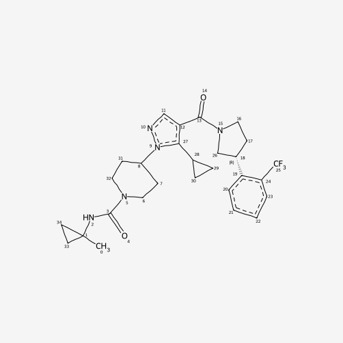 CC1(NC(=O)N2CCC(n3ncc(C(=O)N4CC[C@H](c5ccccc5C(F)(F)F)C4)c3C3CC3)CC2)CC1